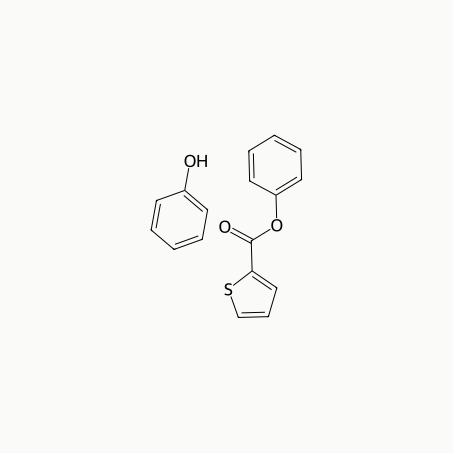 O=C(Oc1ccccc1)c1cccs1.Oc1ccccc1